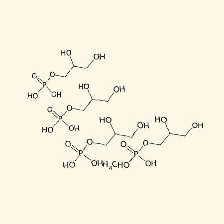 C.O=P(O)(O)OCC(O)CO.O=P(O)(O)OCC(O)CO.O=P(O)(O)OCC(O)CO.O=P(O)(O)OCC(O)CO